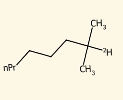 [2H]C(C)(C)CCCCCC